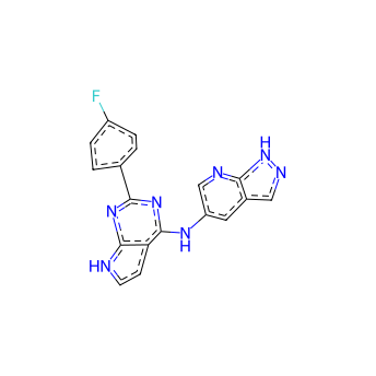 Fc1ccc(-c2nc(Nc3cnc4[nH]ncc4c3)c3cc[nH]c3n2)cc1